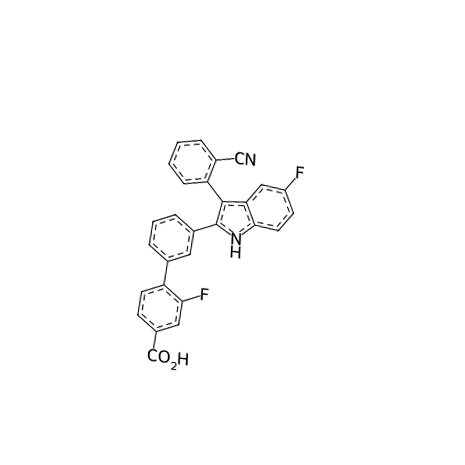 N#Cc1ccccc1-c1c(-c2cccc(-c3ccc(C(=O)O)cc3F)c2)[nH]c2ccc(F)cc12